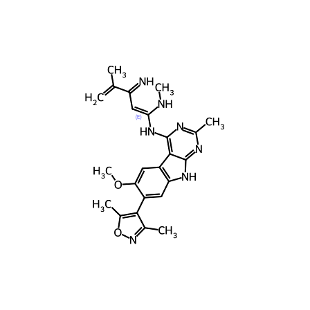 C=C(C)C(=N)/C=C(\NC)Nc1nc(C)nc2[nH]c3cc(-c4c(C)noc4C)c(OC)cc3c12